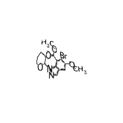 COC(=O)c1c(Br)c(OC)cc2cnn(C3CCCCO3)c12